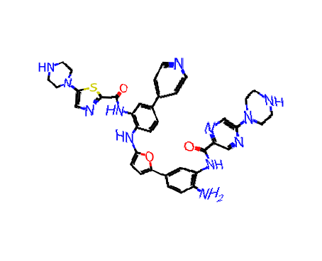 Nc1ccc(-c2ccc(Nc3ccc(-c4ccncc4)cc3NC(=O)c3ncc(N4CCNCC4)s3)o2)cc1NC(=O)c1cnc(N2CCNCC2)cn1